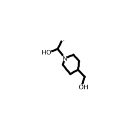 [CH2]C(O)N1CCC(CO)CC1